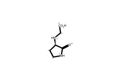 O=C(O)CN[C@@H]1CCNC1=O